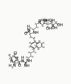 CCCCCCN(CCCN[C@@H](CCc1ccc(CCCCNC(=N)NC(=O)c2nc(Cl)c(C)nc2N)c2ccccc12)C(N)=O)C[C@H](O)[C@@H](O)[C@H](O)[C@H](O)CO